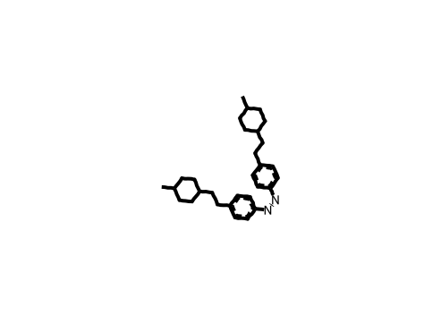 CC1CCC(CCc2ccc(/N=N\c3ccc(CCC4CCC(C)CC4)cc3)cc2)CC1